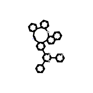 C1=C\c2ccc(-c3cc(-c4ccccc4)nc(-c4cccnc4)n3)cc2-c2ccc3ccccc3c2Oc2ccccc2-c2ccccc2/1